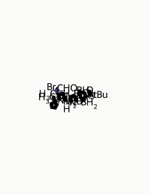 BC1(B)CN(C(=O)OC(C)(C)C)CC(B)(B)N1c1ccc(Nc2ncc(/C(C)=C(/Br)C=O)c(N(C)C3CCCC3)n2)nc1